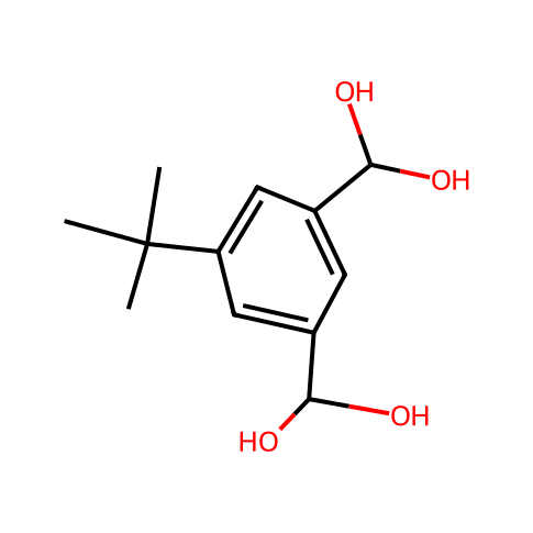 CC(C)(C)c1cc(C(O)O)cc(C(O)O)c1